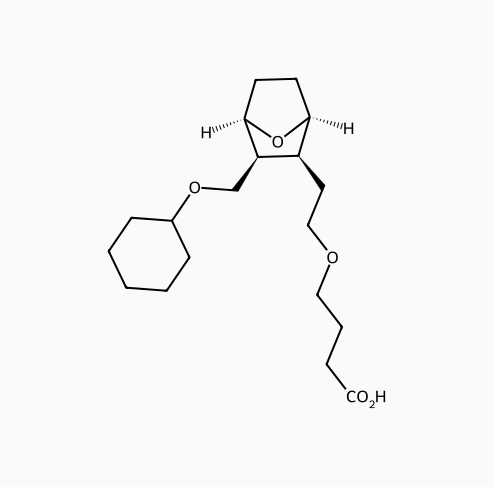 O=C(O)CCCOCC[C@H]1[C@@H](COC2CCCCC2)[C@H]2CC[C@@H]1O2